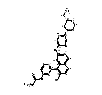 C=CC(=O)Nc1ccnc(-c2c(F)ccc3cnc(Nc4ccc(N5CCO[C@@H](CN)C5)nc4)nc23)c1